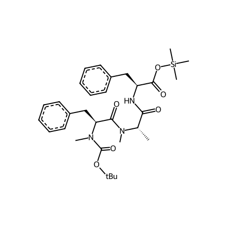 C[C@@H](C(=O)N[C@@H](Cc1ccccc1)C(=O)O[Si](C)(C)C)N(C)C(=O)[C@H](Cc1ccccc1)N(C)C(=O)OC(C)(C)C